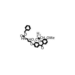 COc1ccc(C(=O)c2ccc(OCCCNC(=O)OCc3ccccc3)cc2)c(OC(C)(C)C(=O)O)c1